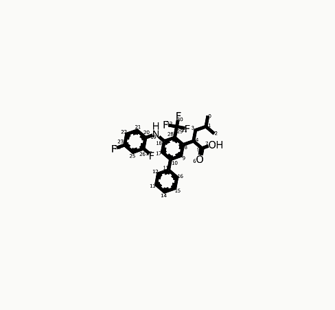 CC(C)CC(C(=O)O)c1cc(-c2ccccc2)cc(Nc2ccc(F)cc2F)c1C(F)(F)F